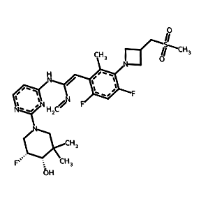 C=N/C(=C\c1c(F)cc(F)c(N2CC(CS(C)(=O)=O)C2)c1C)Nc1ccnc(N2C[C@@H](F)[C@@H](O)C(C)(C)C2)n1